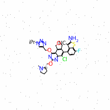 CC(C)n1cc(COc2nc(OC[C@@H]3CCCN3C)nc3c(Cl)c(-c4ccc(F)c5sc(N)c(C#N)c45)c4c(c23)COC4)nn1